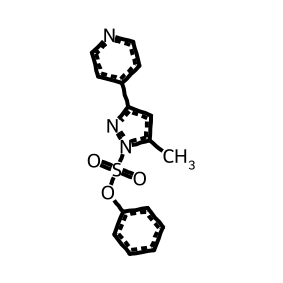 Cc1cc(-c2ccncc2)nn1S(=O)(=O)Oc1ccccc1